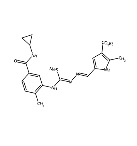 CCOC(=O)c1cc(/C=N/N=C(/Nc2cc(C(=O)NC3CC3)ccc2C)SC)[nH]c1C